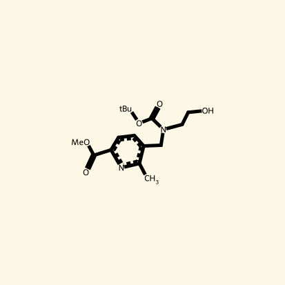 COC(=O)c1ccc(CN(CCO)C(=O)OC(C)(C)C)c(C)n1